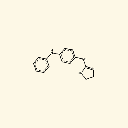 c1ccc(Nc2ccc(NC3=NCCN3)cc2)cc1